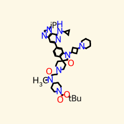 CC(C)n1cnc2cc(-c3ccc4c(c3)N(C3CC(N5CCCCC5)C3)C(=O)C43CCN(CC(=O)N(C)C4CCN(C(=O)OC(C)(C)C)CC4)CC3)nc(NC3CC3)c21